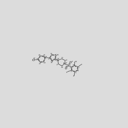 Cc1cc(C)c(C)c(S(=O)(=O)N2CCN(c3nc(-c4ccc(Cl)cc4)cs3)CC2)c1C